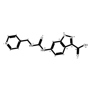 O=C(NCc1ccncc1)Nc1ccc2c(C(=O)O)noc2c1